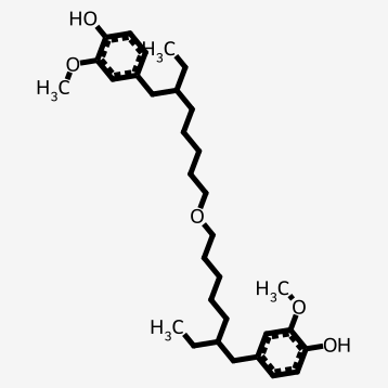 CCC(CCCCCOCCCCCC(CC)Cc1ccc(O)c(OC)c1)Cc1ccc(O)c(OC)c1